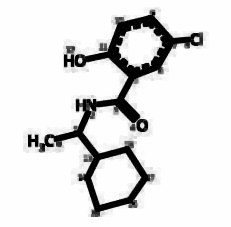 CC(NC(=O)c1cc(Cl)ccc1O)C1CCCCC1